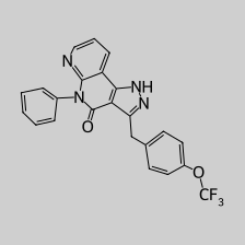 O=c1c2c(Cc3ccc(OC(F)(F)F)cc3)n[nH]c2c2cccnc2n1-c1ccccc1